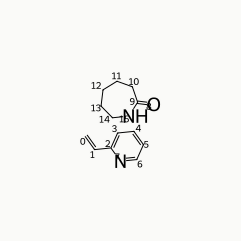 C=Cc1ccccn1.O=C1CCCCCN1